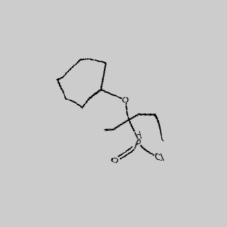 CCC(C)(OC1CCCCC1)[PH](=O)Cl